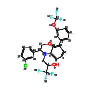 OC(CN1c2cccc(-c3cccc(OC(F)(F)F)c3)c2OCC1c1cccc(Cl)c1)C(F)(F)F